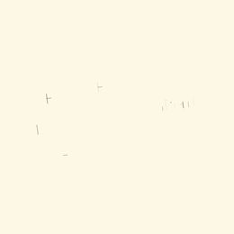 CCCCCc1ccc(-c2cc(F)c(I)c(F)c2)c(F)c1